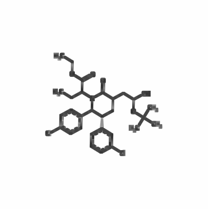 CCOC(=O)C(CC)N1C(=O)C(CC(O)OC(C)(C)C)C[C@H](c2cccc(Cl)c2)C1c1ccc(Cl)cc1